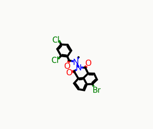 CN(C(=O)c1ccc(Cl)cc1Cl)N1C(=O)c2cccc3c(Br)ccc(c23)C1=O